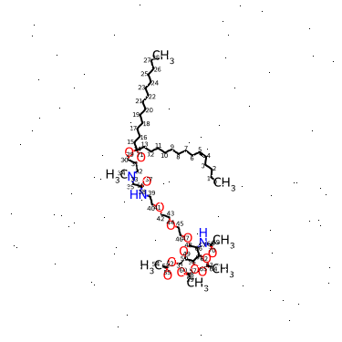 CCCC/C=C\CCCCCCCCC1(CCCCCCCCCCCCCC)OC[C@H](CN(C)CC(=O)NCCOCCOCCO[C@@H]2O[C@H](COC(C)=O)[C@H](OC(C)=O)C(OC(C)=O)C2NC(C)=O)O1